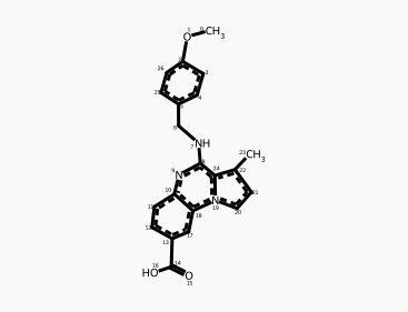 COc1ccc(CNc2nc3ccc(C(=O)O)cc3n3ccc(C)c23)cc1